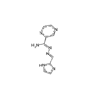 NC(=NN=Cc1ncc[nH]1)c1cnccn1